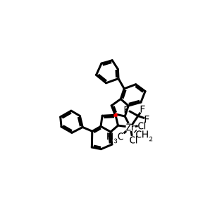 [CH2]=[Zr]([CH3])([Cl])([Cl])([CH]1C=Cc2c(-c3ccccc3)cccc21)([CH]1C=Cc2c(-c3ccccc3)cccc21)[C](F)(F)F